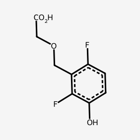 O=C(O)COCc1c(F)ccc(O)c1F